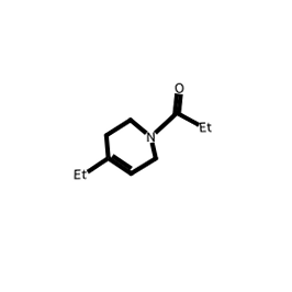 CCC(=O)N1CC=C(CC)CC1